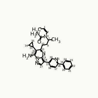 C/C=C\N(C(N)=O)C(C)CCc1nc2c(-c3ccc(-c4ccccc4)nc3)cnn2c(N)c1C1CC1